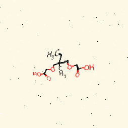 CCC(C)(COCC(=O)O)COCC(=O)O